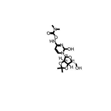 CN(C)C(=O)ONC1=NC(O)N([C@@H]2O[C@H](CO)[C@H]3OC(C)(C)O[C@H]32)C=C1